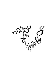 COc1ccc(-c2noc(-c3ccc(NC(C)(C)CCOC(C)(C)CNc4c5ccc(Cl)cc5nc5ccc(OC)cc45)nn3)n2)cc1